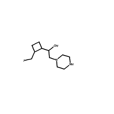 OC(CN1CCNCC1)C1CCC1CI